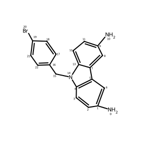 Nc1ccc2c(c1)c1cc(N)ccc1n2Cc1ccc(Br)cc1